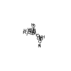 CC(C)(C)OC(=O)N(CCc1ccc(NS(=O)(=O)c2ccc(C#N)cc2)cc1)C[C@H](O)c1cccnc1